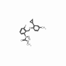 Cc1ccc(OCc2c(F)cccc2-n2nnn(C)c2=O)c(C2CC2)c1